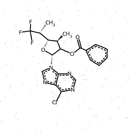 C[C@H]([C@H]1O[C@@H](n2cnc3c(Cl)ncnc32)C(OC(=O)c2ccccc2)[C@@H]1C)C(F)(F)F